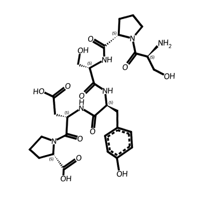 N[C@@H](CO)C(=O)N1CCC[C@H]1C(=O)N[C@@H](CO)C(=O)N[C@@H](Cc1ccc(O)cc1)C(=O)N[C@@H](CC(=O)O)C(=O)N1CCC[C@H]1C(=O)O